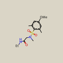 CCNC(=O)CN(C)S(=O)(=O)c1c(C)cc(OC)cc1C